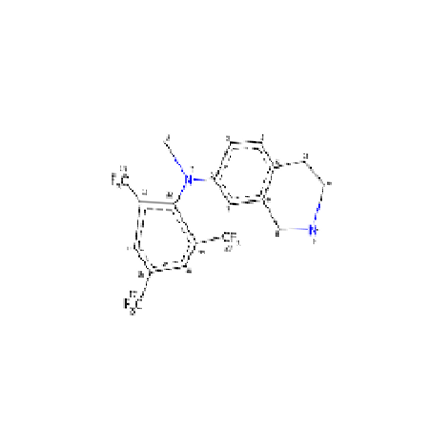 CN(c1ccc2c(c1)C[N]CC2)c1c(C(F)(F)F)cc(C(F)(F)F)cc1C(F)(F)F